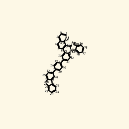 c1cnc2c(c1)ccc1c3cc(-c4ccc(-c5ccc6sc7ccccc7c6c5)cc4)ccc3n3c4ccccc4nc3c12